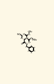 CC(C)(C)OC(=O)N(C(=O)OC(C)(C)C)[C@@H](CCC#N)C(=O)OCc1ccccc1